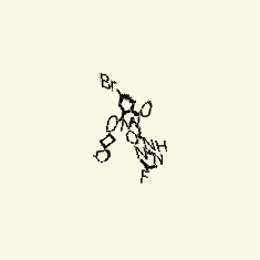 CO[C@H]1C[C@H](Oc2nn(CC(=O)Nc3ncc(F)cn3)c(=O)c3ccc(Br)cc23)C1